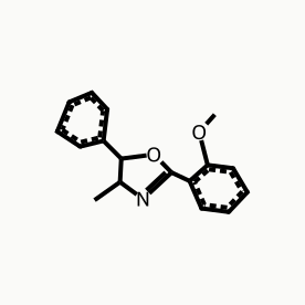 COc1ccccc1C1=NC(C)C(c2ccccc2)O1